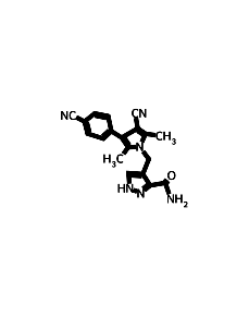 Cc1c(C#N)c(-c2ccc(C#N)cc2)c(C)n1Cc1c[nH]nc1C(N)=O